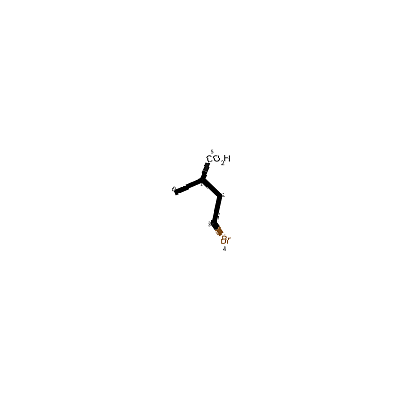 CC(CCBr)C(=O)O